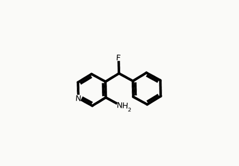 Nc1cnccc1C(F)c1ccccc1